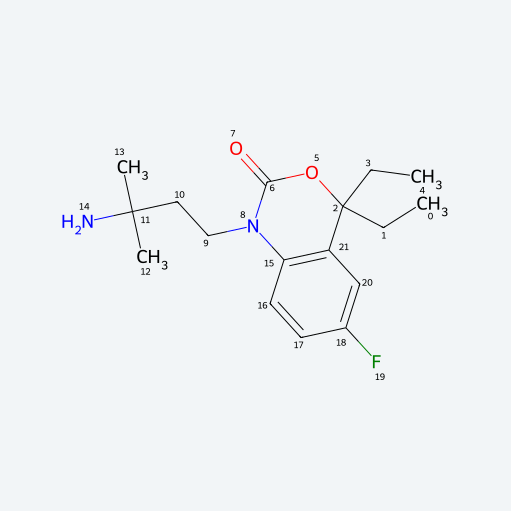 CCC1(CC)OC(=O)N(CCC(C)(C)N)c2ccc(F)cc21